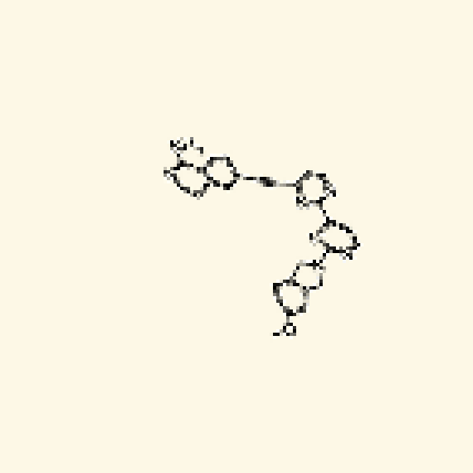 COc1ccc2c(c1)CN(c1nccc(-c3nccc(C#Cc4ccc5c(N)nccc5c4)n3)n1)C2